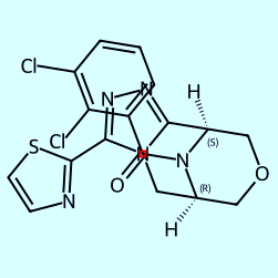 O=C(c1cccc(Cl)c1Cl)N1[C@H]2COC[C@@H]1c1nnc(-c3nccs3)n1C2